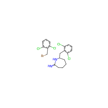 Clc1cccc(Cl)c1CBr.N=C1CCCCC(Cc2c(Cl)cccc2Cl)N1